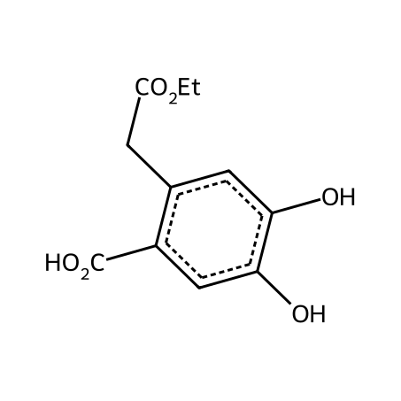 CCOC(=O)Cc1cc(O)c(O)cc1C(=O)O